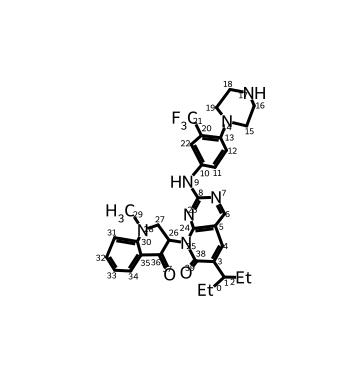 CCC(CC)c1cc2cnc(Nc3ccc(N4CCNCC4)c(C(F)(F)F)c3)nc2n(C2CN(C)c3ccccc3C2=O)c1=O